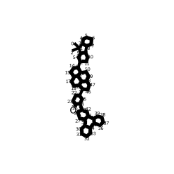 CC1(C)c2ccccc2-c2ccc(-c3ccc4ccc5c(-c6ccc7oc8cc9c%10ccccc%10c%10ccccc%10c9cc8c7c6)ccc6ccc3c4c65)cc21